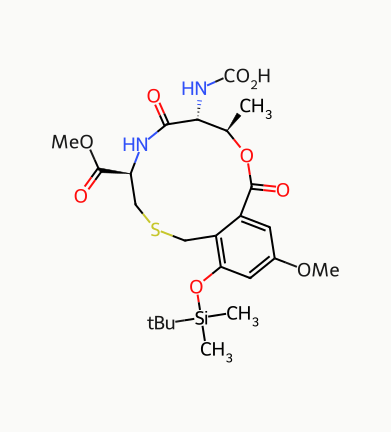 COC(=O)[C@@H]1CSCc2c(O[Si](C)(C)C(C)(C)C)cc(OC)cc2C(=O)O[C@H](C)[C@@H](NC(=O)O)C(=O)N1